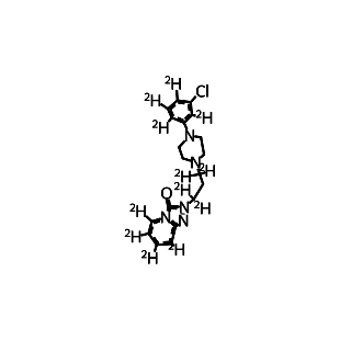 [2H]c1c([2H])c(Cl)c([2H])c(N2CCN(C([2H])([2H])CC([2H])([2H])n3nc4c([2H])c([2H])c([2H])c([2H])n4c3=O)CC2)c1[2H]